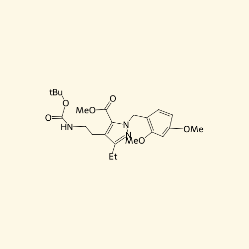 CCc1nn(Cc2ccc(OC)cc2OC)c(C(=O)OC)c1CCNC(=O)OC(C)(C)C